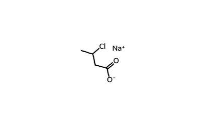 CC(Cl)CC(=O)[O-].[Na+]